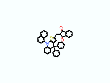 O=C1C(=Cc2cc3c(s2)N(c2cccc4ccccc24)c2ccccc2C3(c2ccccc2)c2ccccc2)C(=O)c2ccccc21